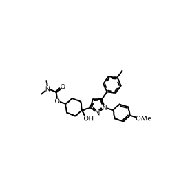 COC1=CCC(n2nc(C3(O)CCC(OC(=O)N(C)C)CC3)cc2-c2ccc(C)cc2)C=C1